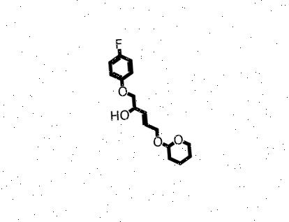 OC(/C=C/COC1CCCCO1)COc1ccc(F)cc1